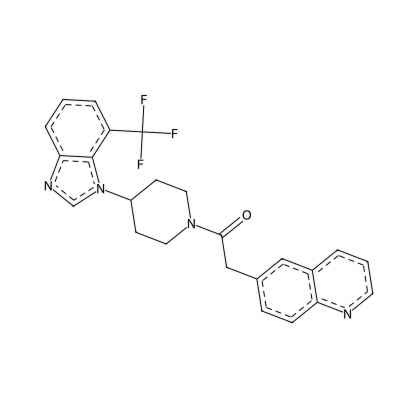 O=C(Cc1ccc2ncccc2c1)N1CCC(n2cnc3cccc(C(F)(F)F)c32)CC1